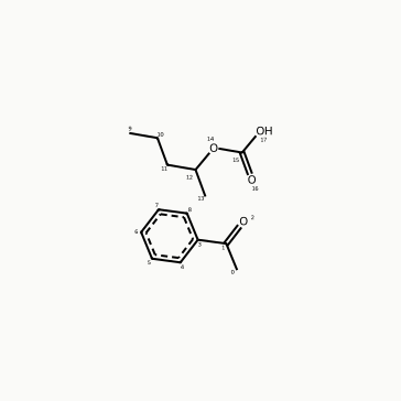 CC(=O)c1ccccc1.CCCC(C)OC(=O)O